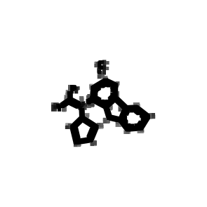 CC(C)[C](C(C)C)=[Zr+2]([c]1cccc2c1Cc1ccccc1-2)[CH]1C=CC=C1.[Cl-].[Cl-]